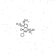 COc1ccc(OC)c(C(=O)PC2CCCC2)c1OC.[LiH]